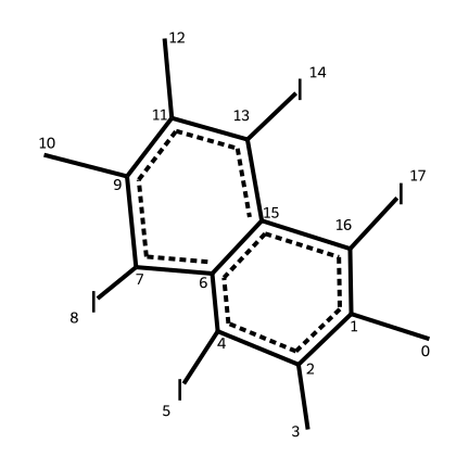 Cc1c(C)c(I)c2c(I)c(C)c(C)c(I)c2c1I